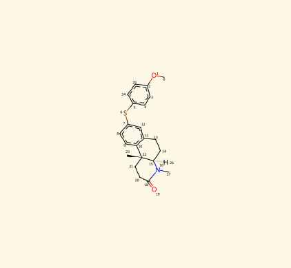 COc1ccc(Sc2ccc3c(c2)CC[C@H]2N(C)C(=O)CC[C@]32C)cc1